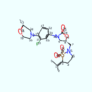 CC(C)=C1CCN(C[C@H]2CN(c3ccc(N4CCOCC4)c(F)c3)C(=O)O2)S1(=O)=O